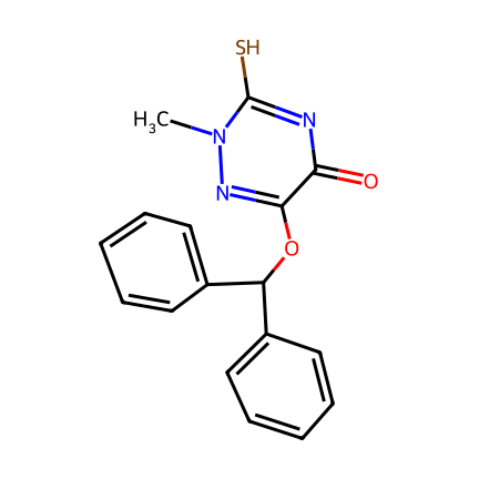 Cn1nc(OC(c2ccccc2)c2ccccc2)c(=O)nc1S